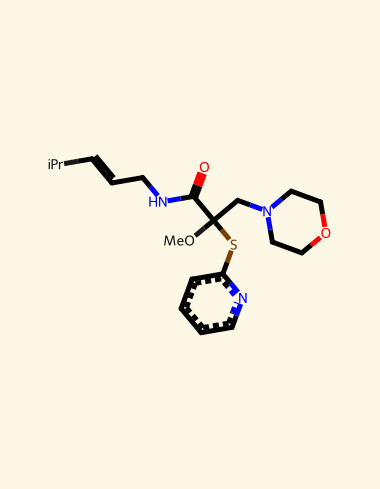 COC(CN1CCOCC1)(Sc1ccccn1)C(=O)NC/C=C/C(C)C